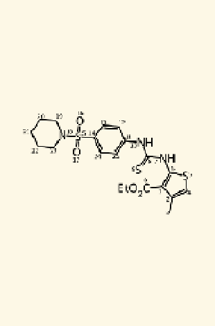 CCOC(=O)c1c(C)csc1NC(=S)Nc1ccc(S(=O)(=O)N2CCCCC2)cc1